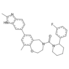 Cc1nc2ccc(-c3cc(C)c4c(c3)CN(C(=O)N3CCCCC3c3cccc(F)c3)CCO4)cc2[nH]1